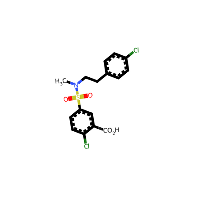 CN(CCc1ccc(Cl)cc1)S(=O)(=O)c1ccc(Cl)c(C(=O)O)c1